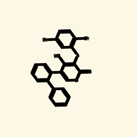 CC(C)c1ccc(C(C)C)c(Sc2c(O)c(-c3ccccc3-c3ccccc3)coc2=O)c1